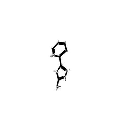 CCCc1nnc(-c2ccccn2)o1